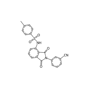 Cc1ccc(S(=O)(=O)Nc2cccc3c2C(=O)N(c2cccc(C#N)c2)C3=O)cc1